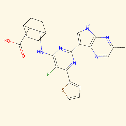 Cc1cnc2c(-c3nc(NC4C5CCC(CC5)C4C(=O)O)c(F)c(-c4cccs4)n3)c[nH]c2n1